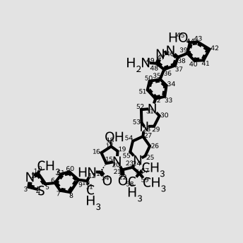 Cc1ncsc1-c1ccc([C@H](C)NC(=O)[C@@H]2C[C@@H](O)CN2C(=O)C(N2CCC(N3CCN(c4ccc(-c5cc(-c6ccccc6O)nnc5N)cc4)CC3)CC2)C(C)(C)C)cc1